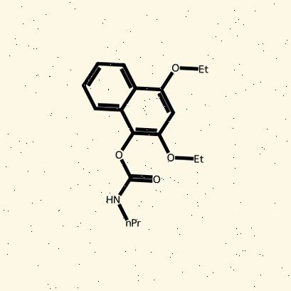 CCCNC(=O)Oc1c(OCC)cc(OCC)c2ccccc12